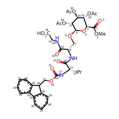 COC(=O)[C@H]1O[C@@H](OC[C@H](NC(=O)[C@@H](NC(=O)OCC2c3ccccc3-c3ccccc32)C(C)C)C(=O)NCC(=O)O)[C@H](OC(C)=O)[C@@H](OC(C)=O)[C@@H]1OC(C)=O